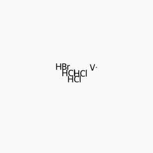 Br.Cl.Cl.Cl.[V]